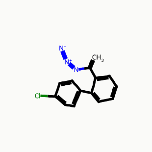 C=C(N=[N+]=[N-])c1ccccc1-c1ccc(Cl)cc1